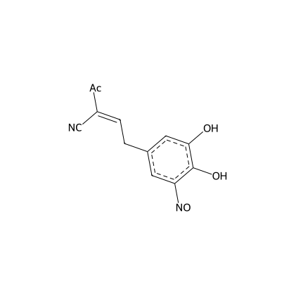 CC(=O)/C(C#N)=C/Cc1cc(O)c(O)c(N=O)c1